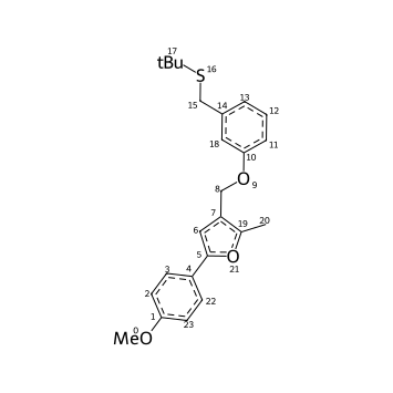 COc1ccc(-c2cc(COc3cccc(CSC(C)(C)C)c3)c(C)o2)cc1